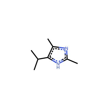 C[C](C)c1[nH]c(C)nc1C